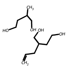 C=CCC(CO)CCO.CC(CO)CCO